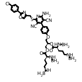 BNCCC[C@H](NB)C(=O)OC[C@@H](COc1ccc(-c2c(C#N)c(N)nc(SCc3coc(-c4ccc(Cl)cc4)n3)c2C#N)cc1)OC(=O)[C@H](CCCNB)NB